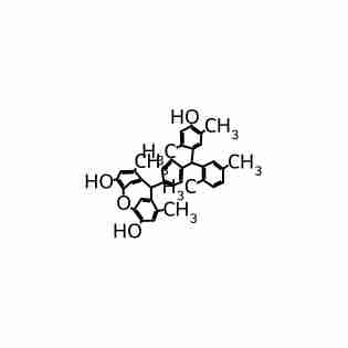 Cc1ccc(C)c(C(c2ccc(C3c4cc(c(O)cc4C)Oc4cc3c(C)cc4O)cc2)c2cc(C)c(O)cc2C)c1